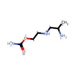 CC(N)CNCCOC(N)=O